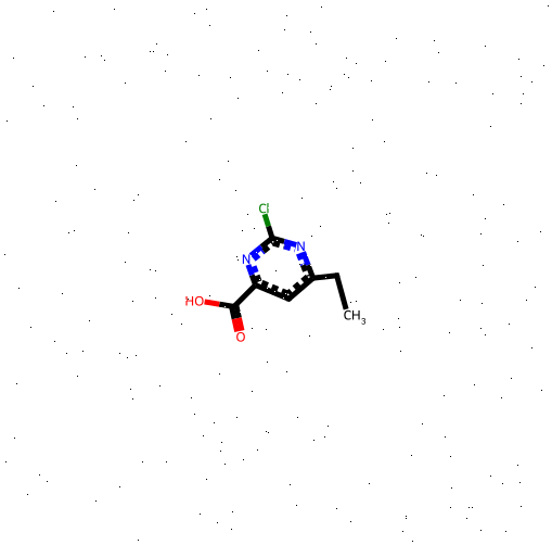 CCc1cc(C(=O)O)nc(Cl)n1